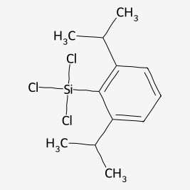 CC(C)c1cccc(C(C)C)c1[Si](Cl)(Cl)Cl